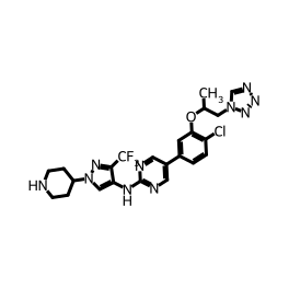 CC(Cn1cnnn1)Oc1cc(-c2cnc(Nc3cn(C4CCNCC4)nc3C(F)(F)F)nc2)ccc1Cl